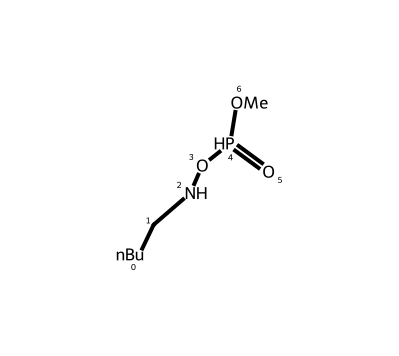 CCCCCNO[PH](=O)OC